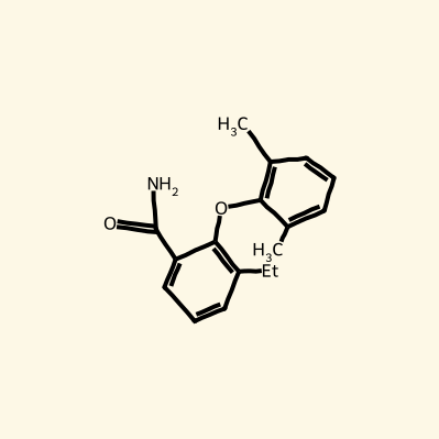 CCc1cccc(C(N)=O)c1Oc1c(C)cccc1C